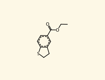 CCOC(=O)c1ccc2c(c1)CCS2